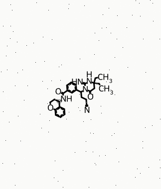 CCC1(CC)CC(=O)N(C(CCC#N)c2cccc(C(=O)N[C@H]3CCOc4ccccc43)c2)C(=N)N1